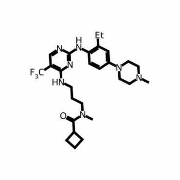 CCc1cc(N2CCN(C)CC2)ccc1Nc1ncc(C(F)(F)F)c(NCCCN(C)C(=O)C2CCC2)n1